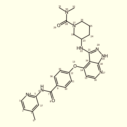 Cc1ccnc(NC(=O)c2ccc(Oc3ccnc4[nH]nc(NC5CCCN(C(=O)N(C)C)C5)c34)cc2)c1